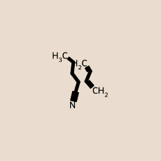 C=CC=C.CCCCC#N